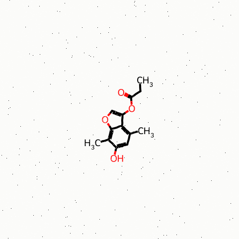 CCC(=O)Oc1coc2c(C)c(O)cc(C)c12